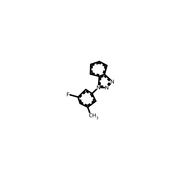 Cc1cc(F)cc(-n2nnc3ccccc32)c1